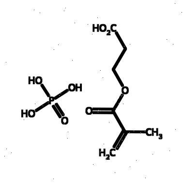 C=C(C)C(=O)OCCC(=O)O.O=P(O)(O)O